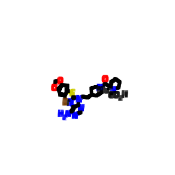 CC(C)(C)[C@]1(C(=O)N2CCC(CCn3c(Sc4cc5c(cc4Br)OCO5)nc4c(N)ncnc43)CC2)CCCCN1C(=O)O